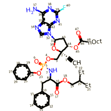 C#C[C@]1(CO[P@@](=O)(NC(Cc2ccccc2)C(=O)OCC(CC)CC)Oc2ccccc2)O[C@@H](n2cnc3c(N)nc(F)nc32)C[C@@H]1OC(=O)CCCCCCCC